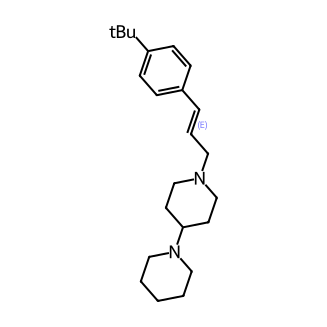 CC(C)(C)c1ccc(/C=C/CN2CCC(N3CCCCC3)CC2)cc1